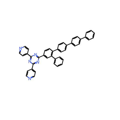 c1ccc(-c2ccc(-c3ccc(-c4ccc(-c5nc(-c6ccncc6)nc(-c6ccncc6)n5)cc4-c4ccccc4)cc3)cc2)cc1